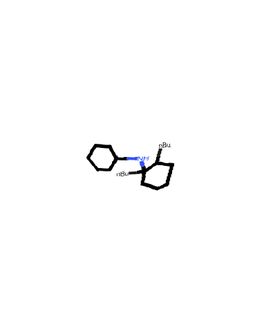 CCCCC1CCCCC1(CCCC)NC1CCCCC1